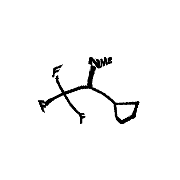 CNC(C1CC1)C(F)(F)F